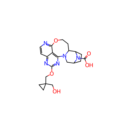 O=C(O)N1C2CCC1C1CCOc3nccc4nc(OCC5(CO)CC5)nc(c34)N1C2